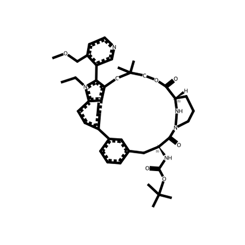 CCn1c(-c2cnccc2COC)c2c3cc(ccc31)-c1cccc(c1)C[C@H](NC(=O)OC(C)(C)C)C(=O)N1CCC[C@H](N1)C(=O)OCC(C)(C)C2